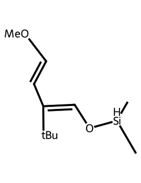 COC=CC(=CO[SiH](C)C)C(C)(C)C